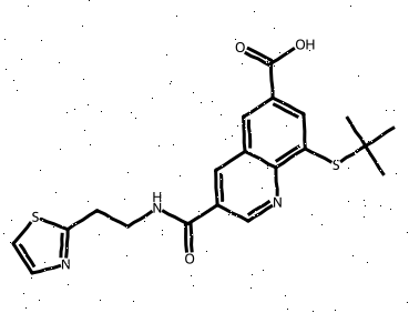 CC(C)(C)Sc1cc(C(=O)O)cc2cc(C(=O)NCCc3nccs3)cnc12